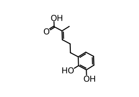 C/C(=C\CCc1cccc(O)c1O)C(=O)O